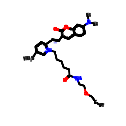 CCN(CC)c1ccc2cc(/C=C/c3ccc(S(=O)(=O)O)c[n+]3CCCCCC(=O)NCCOCCC(C)C)c(=O)oc2c1